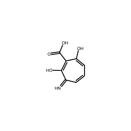 N=c1cccc(O)c(C(=O)O)c1O